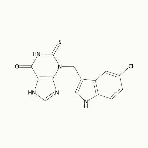 O=c1[nH]c(=S)n(Cc2c[nH]c3ccc(Cl)cc23)c2nc[nH]c12